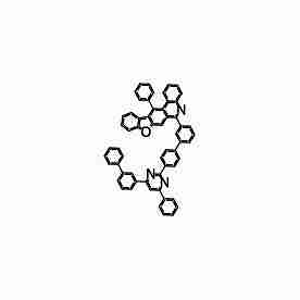 c1ccc(-c2cccc(-c3cc(-c4ccccc4)nc(-c4ccc(-c5cccc(-c6nc7ccccc7c7c(-c8ccccc8)c8c(cc67)oc6ccccc68)c5)cc4)n3)c2)cc1